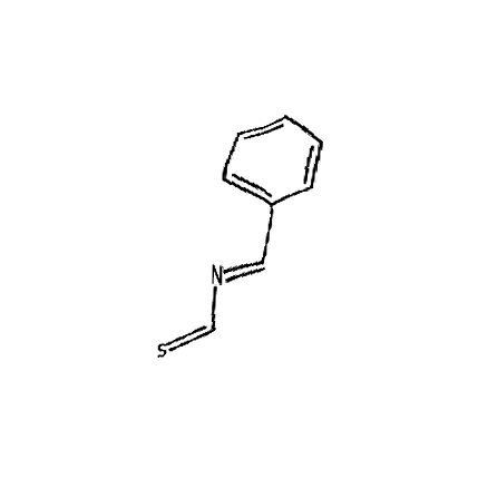 S=CN=Cc1ccccc1